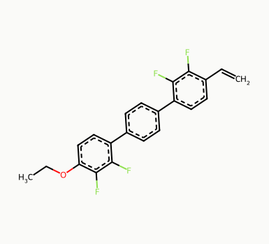 C=Cc1ccc(-c2ccc(-c3ccc(OCC)c(F)c3F)cc2)c(F)c1F